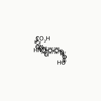 O=C(O)[C@H]1CC[C@H](Oc2nc3nc(-c4ccc(-c5ccc(CN6CC(OCCO)C6)cc5)cc4)c(Cl)cc3[nH]2)CC1